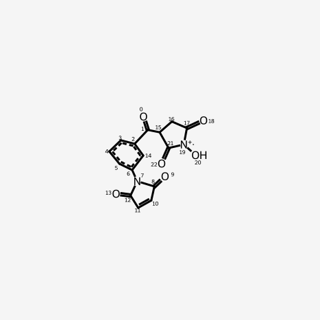 O=C(c1cccc(N2C(=O)C=CC2=O)c1)C1CC(=O)[N+](O)C1=O